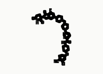 N#Cc1ccc(OC2CCC(NC(=O)c3ccc(N4CCC(CN5CCC(c6cc(F)c7c(c6)CN(C6CCC(=O)NC6=O)C7=O)CC5)CC4)nn3)CC2)cc1Cl